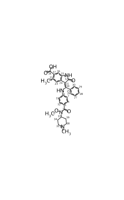 CON(C(=O)c1ccc(NC(=C2C(=O)Nc3cc(C(=O)O)c(C)cc32)c2ccccc2)cc1)C1CCN(C)CC1